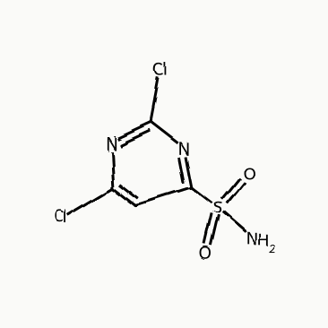 NS(=O)(=O)c1cc(Cl)nc(Cl)n1